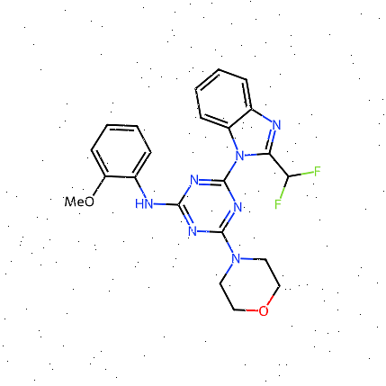 COc1ccccc1Nc1nc(N2CCOCC2)nc(-n2c(C(F)F)nc3ccccc32)n1